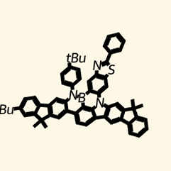 CC(C)(C)c1ccc(N2B3c4cc5nc(-c6ccccc6)sc5cc4-n4c5cc6c(cc5c5ccc(c3c54)-c3cc4c(cc32)-c2ccc(C(C)(C)C)cc2C4(C)C)-c2ccccc2C6(C)C)cc1